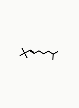 [CH2]C(C)CCC/C=C/C(C)(C)C